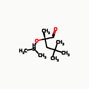 C[SiH](C)O[C@](C)(C=O)CC(C)(C)C